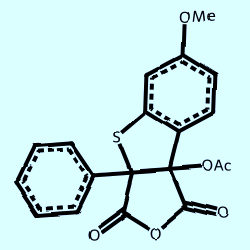 COc1ccc2c(c1)SC1(c3ccccc3)C(=O)OC(=O)C21OC(C)=O